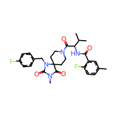 Cc1ccc(F)c(C(=O)N[C@@H](C(=O)N2CCC3(CC2)C(=O)N(C)C(=O)N3Cc2ccc(F)cc2)C(C)C)c1